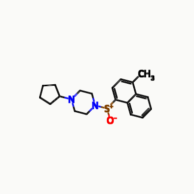 Cc1ccc([S+]([O-])N2CCN(C3CCCC3)CC2)c2ccccc12